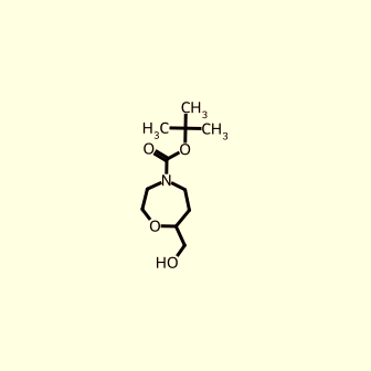 CC(C)(C)OC(=O)N1CCOC(CO)CC1